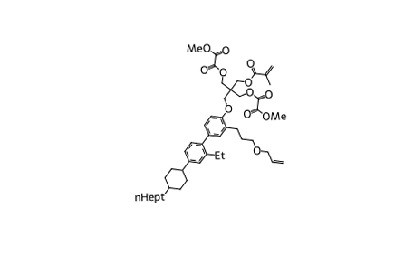 C=CCOCCCc1cc(-c2ccc(C3CCC(CCCCCCC)CC3)cc2CC)ccc1OCC(COC(=O)C(=C)C)(COC(=O)C(=O)OC)COC(=O)C(=O)OC